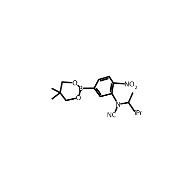 CC(C)C(C)N(C#N)c1cc(B2OCC(C)(C)CO2)ccc1[N+](=O)[O-]